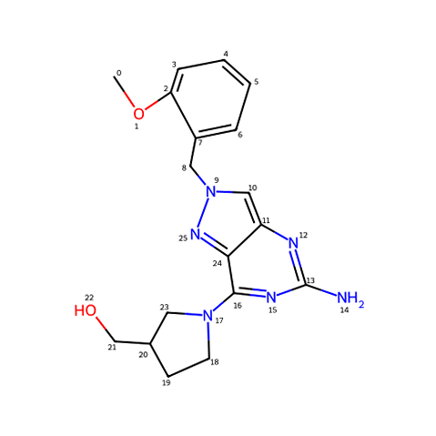 COc1ccccc1Cn1cc2nc(N)nc(N3CCC(CO)C3)c2n1